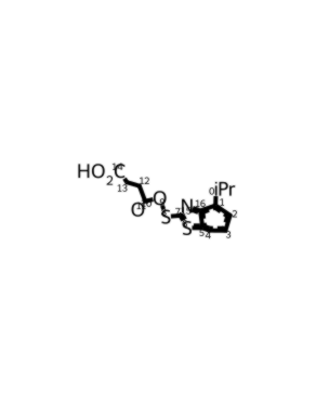 CC(C)c1cccc2sc(SOC(=O)CCC(=O)O)nc12